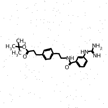 CC(C)(C)OC(=O)CCc1ccc(CCNC(=O)c2cccc(NC(=N)N)c2)cc1